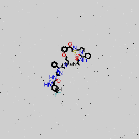 CNC(C)C(=O)NC(C(=O)N1CCCC1c1nc(C(=O)c2cccc(OCCCCN3CC([C@@H](c4ccccc4)n4cc(NC(=O)c5n[nH]c6c5C[C@@H]5C(F)(F)[C@]5(C)C6)cn4)C3)c2)cs1)C1CCCCC1